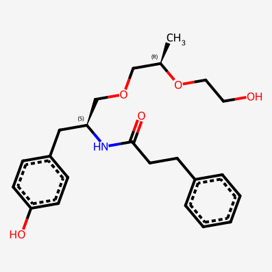 C[C@H](COC[C@H](Cc1ccc(O)cc1)NC(=O)CCc1ccccc1)OCCO